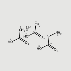 CC(=O)O.CC(=O)O.NCC(=O)O.[LiH]